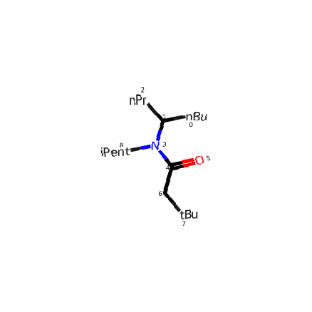 CCCCC(CCC)N(C(=O)CC(C)(C)C)C(C)CCC